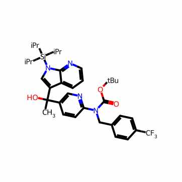 CC(C)[Si](C(C)C)(C(C)C)n1cc(C(C)(O)c2ccc(N(Cc3ccc(C(F)(F)F)cc3)C(=O)OC(C)(C)C)nc2)c2cccnc21